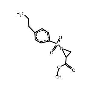 CCCc1ccc(S(=O)(=O)N2CC2C(=O)OC)cc1